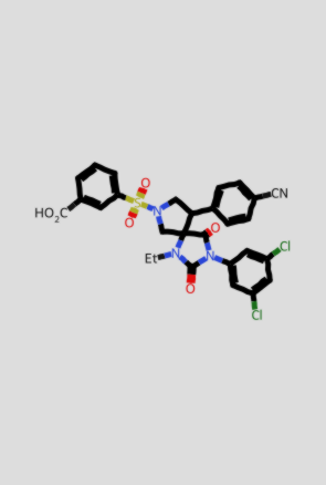 CCN1C(=O)N(c2cc(Cl)cc(Cl)c2)C(=O)C12CN(S(=O)(=O)c1cccc(C(=O)O)c1)CC2c1ccc(C#N)cc1